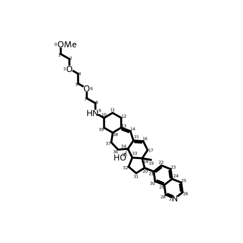 COCCOCCOCCNC1CCC2=CC3=CCC4(C)C(c5ccc6ccncc6c5)CCC4[C@@]3(O)CCC2C1